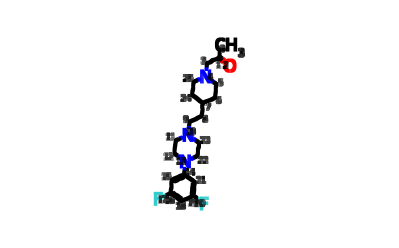 CC(=O)CN1CCC(CCN2CCN(c3cc(F)cc(F)c3)CC2)CC1